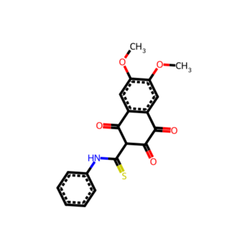 COc1cc2c(cc1OC)C(=O)C(C(=S)Nc1ccccc1)C(=O)C2=O